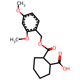 COc1ccc(COC(=O)C2CCCCC2C(=O)O)c(OC)c1